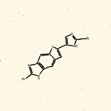 CC(C)c1ncc(-c2cc3cc4[nH]c(C(C)C)nc4cc3s2)[nH]1